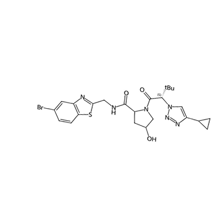 CC(C)(C)[C@@H](C(=O)N1CC(O)CC1C(=O)NCc1nc2cc(Br)ccc2s1)n1cc(C2CC2)nn1